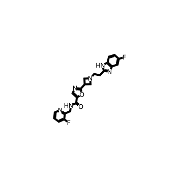 O=C(NCc1ncccc1F)c1cnc(C2CN(CCc3nc4cc(F)ccc4[nH]3)C2)o1